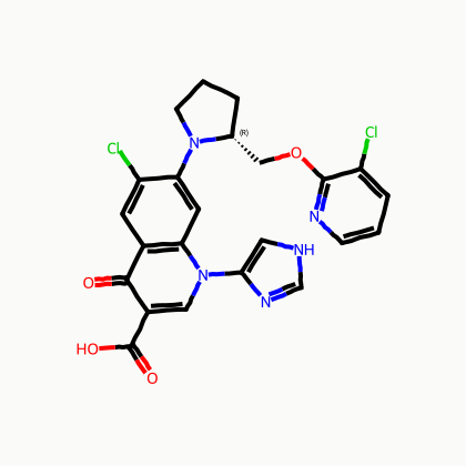 O=C(O)c1cn(-c2c[nH]cn2)c2cc(N3CCC[C@@H]3COc3ncccc3Cl)c(Cl)cc2c1=O